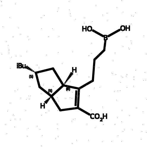 CCC(C)[C@H]1C[C@@H]2CC(C(=O)O)=C(CCCB(O)O)[C@@H]2C1